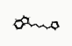 C1=CCC(CCCCCC2C=Cc3ccccc32)=C1